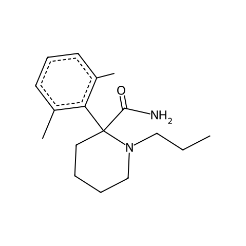 CCCN1CCCCC1(C(N)=O)c1c(C)cccc1C